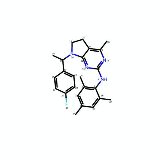 Cc1cc(C)c(Nc2nc(C)c3c(n2)N(C(C)c2ccc(F)cc2)CC3)c(C)c1